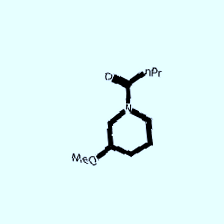 CCCC(=O)N1CCCC(OC)C1